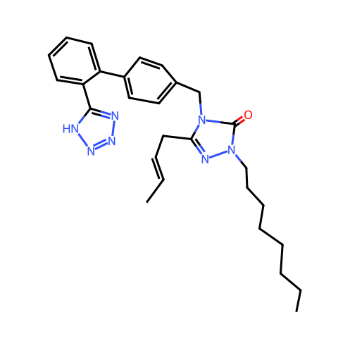 C/C=C/Cc1nn(CCCCCCCC)c(=O)n1Cc1ccc(-c2ccccc2-c2nnn[nH]2)cc1